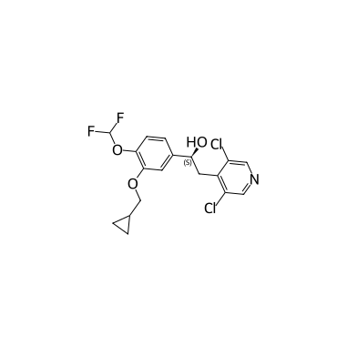 O[C@@H](Cc1c(Cl)cncc1Cl)c1ccc(OC(F)F)c(OCC2CC2)c1